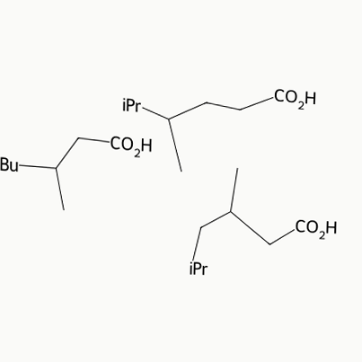 CC(C)C(C)CCC(=O)O.CC(C)CC(C)CC(=O)O.CCC(C)C(C)CC(=O)O